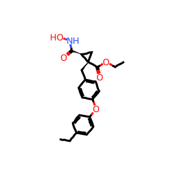 CCOC(=O)[C@@]1(Cc2ccc(Oc3ccc(CC)cc3)cc2)C[C@@H]1C(=O)NO